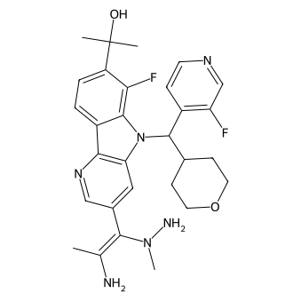 C/C(N)=C(\c1cnc2c3ccc(C(C)(C)O)c(F)c3n(C(c3ccncc3F)C3CCOCC3)c2c1)N(C)N